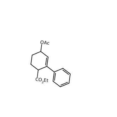 CCOC(=O)C1CCC(OC(C)=O)C=C1c1ccccc1